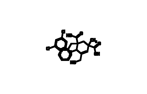 CC1(C(=O)O)C=C(CO)C(Sc2cc(Cl)cc(Cl)c2)C(Cc2ccccc2)(C(=O)O)C1